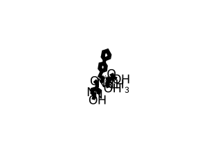 C[C@@](CO)(C[C@@H](Cc1ccc(-c2ccccc2)cc1)NC(=O)c1cnc(O)nc1)C(=O)O